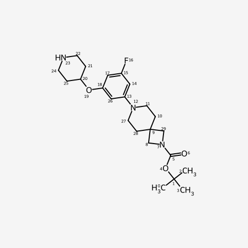 CC(C)(C)OC(=O)N1CC2(CCN(c3cc(F)cc(OC4CCNCC4)c3)CC2)C1